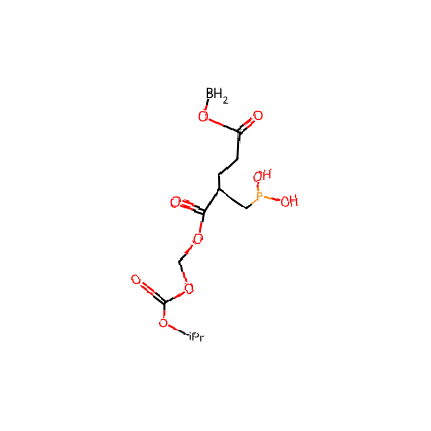 BOC(=O)CCC(CP(O)O)C(=O)OCOC(=O)OC(C)C